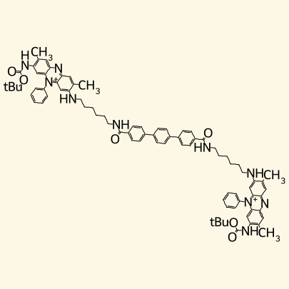 Cc1cc2nc3cc(C)c(NC(=O)OC(C)(C)C)cc3[n+](-c3ccccc3)c2cc1NCCCCCCNC(=O)c1ccc(-c2ccc(-c3ccc(C(=O)NCCCCCCNc4cc5c(cc4C)nc4cc(C)c(NC(=O)OC(C)(C)C)cc4[n+]5-c4ccccc4)cc3)cc2)cc1